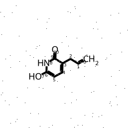 C=CCc1ccc(O)[nH]c1=O